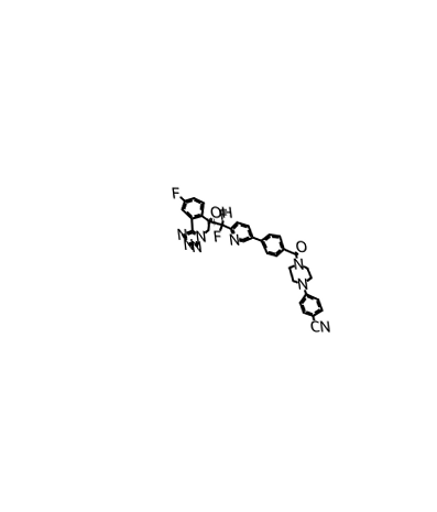 N#Cc1ccc(N2CCN(C(=O)c3ccc(-c4ccc(C(F)(F)[C@]5(O)Cn6nnnc6-c6cc(F)ccc65)nc4)cc3)CC2)cc1